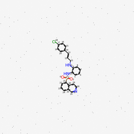 O=S(=O)(Nc1ccccc1NCC=Cc1ccc(Cl)cc1)c1cccc2cnccc12